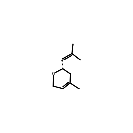 CC(C)=C[C@@H]1CC(C)=CCO1